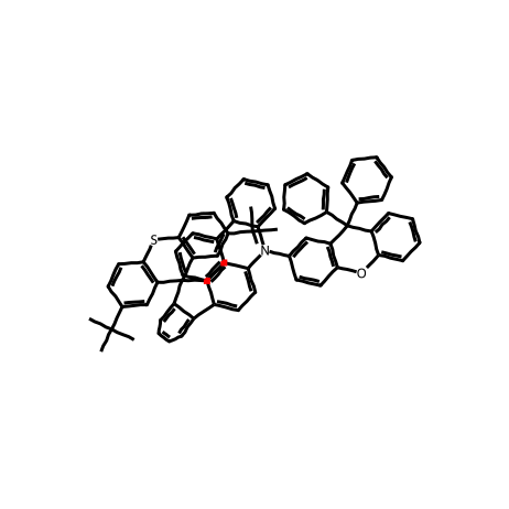 CC(C)(C)c1ccc2c(c1)C1(c3cc(C(C)(C)C)ccc3S2)c2ccccc2-c2ccc(N(c3ccc4c(c3)C(c3ccccc3)(c3ccccc3)c3ccccc3O4)c3ccccc3-c3ccccc3)cc21